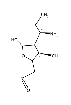 CC[C@@H](N)C1C(O)OC(CN=O)[C@@H]1C